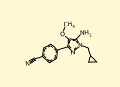 COc1c(-c2ccc(C#N)cc2)nn(CC2CC2)c1N